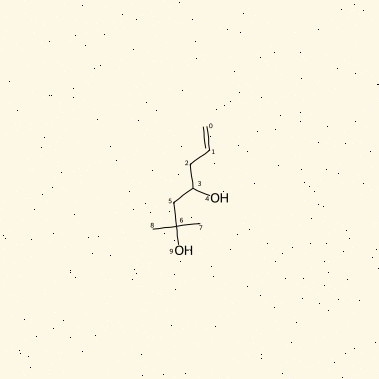 C=CCC(O)CC(C)(C)O